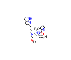 CCOCCN(CCCCc1ccc2c(n1)NCCC2)CCC(NC(=O)c1ncccc1C(F)(F)F)C(=O)O